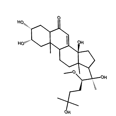 CO[C@H](CCC(C)(C)O)[C@](C)(O)C1CC[C@@]2(O)C3=CC(=O)C4C[C@@H](O)[C@@H](O)CC4(C)C3CCC12C